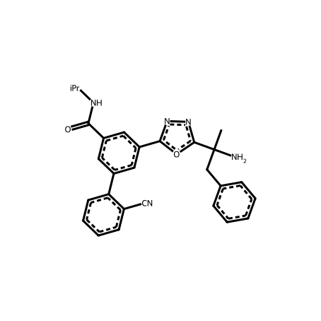 CC(C)NC(=O)c1cc(-c2nnc(C(C)(N)Cc3ccccc3)o2)cc(-c2ccccc2C#N)c1